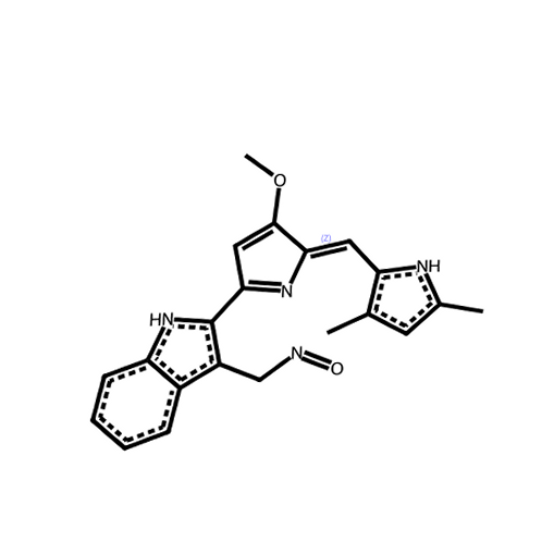 COC1=CC(c2[nH]c3ccccc3c2CN=O)=N/C1=C\c1[nH]c(C)cc1C